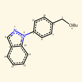 CC(C)COCc1ccc(-n2ncc3ccccc32)cc1